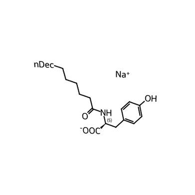 CCCCCCCCCCCCCCCC(=O)N[C@@H](Cc1ccc(O)cc1)C(=O)[O-].[Na+]